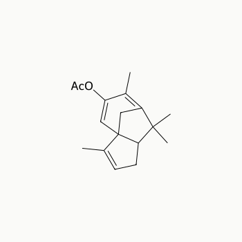 CC(=O)OC1=CC23CC(=C1C)C(C)(C)C2CC=C3C